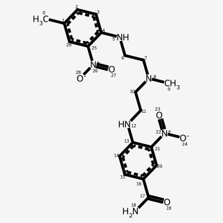 Cc1ccc(NCCN(C)CCNc2ccc(C(N)=O)cc2[N+](=O)[O-])c([N+](=O)[O-])c1